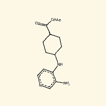 COC(=O)C1CCC(Nc2ccncc2N)CC1